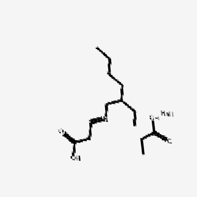 CCC(=O)O.CCCCC(CC)CN=CCC(=O)O.[NaH]